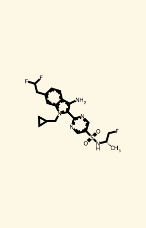 C[C@@H](CF)NS(=O)(=O)c1cnc(-c2c(N)c3ccc(CC(F)F)cc3n2CC2CC2)nc1